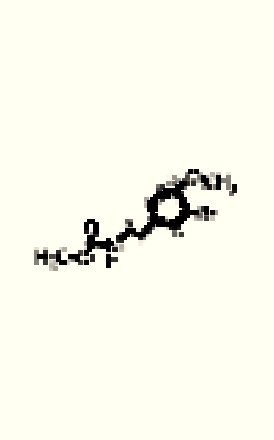 COC(=O)NCCc1ccc(OC)c(Br)c1